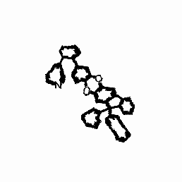 c1ccc(C2(c3ccccc3)c3ccccc3-c3cc4c(cc32)Oc2ccc(-c3ccccc3-c3cccnc3)cc2O4)cc1